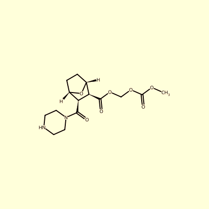 COC(=O)OCOC(=O)[C@H]1[C@@H](C(=O)N2CCNCC2)[C@@H]2CC[C@H]1O2